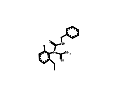 CCc1cccc(C)c1N(C(=N)N)C(=S)NCc1ccccc1